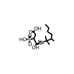 CCCCC(C)[C](C)(C)[Na].O=C(O)CC(C(=O)O)S(=O)(=O)O